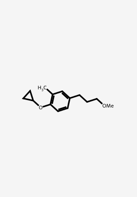 COCCCc1ccc(OC2CC2)c(C)c1